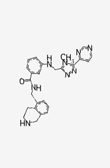 Cn1c(CNc2cccc(C(=O)NCc3cccc4c3CCNC4)c2)nnc1-c1ccncn1